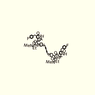 CC[C@H](NC)C(=O)N[C@H](C(=O)N1CC(C)(C)c2[nH]c(=O)c(Cc3ccc(F)cc3)cc21)C1CCN(CC#CC#CCN2CCC([C@H](NC(=O)[C@H](CC)NC)C(=O)N3CC(C)(C)c4[nH]c(=O)c(Cc5ccc(F)cc5)cc43)CC2)CC1